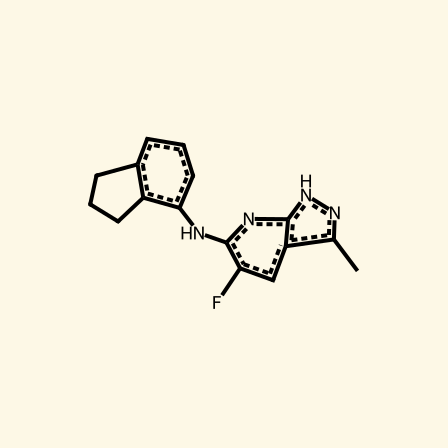 Cc1n[nH]c2nc(Nc3cccc4c3CCC4)c(F)cc12